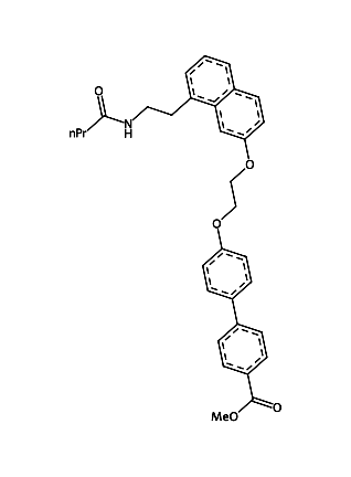 CCCC(=O)NCCc1cccc2ccc(OCCOc3ccc(-c4ccc(C(=O)OC)cc4)cc3)cc12